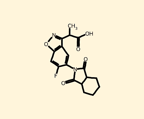 CC(C(=O)O)c1noc2cc(F)c(N3C(=O)C4CCCCC4C3=O)cc12